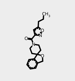 CCCc1cc(C(=O)N2CCC3(CC2)OCc2ccccc23)no1